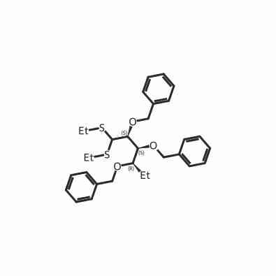 CCSC(SCC)[C@@H](OCc1ccccc1)[C@@H](OCc1ccccc1)[C@@H](CC)OCc1ccccc1